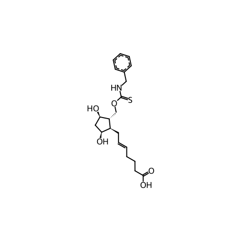 O=C(O)CCCC=CC[C@@H]1[C@@H](COC(=S)NCc2ccccc2)[C@H](O)C[C@@H]1O